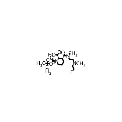 CN(CCF)CCN(C)C(=O)[C@H]1CCCN(C(=O)OC(C)(C)C)[C@H]1C(=O)O